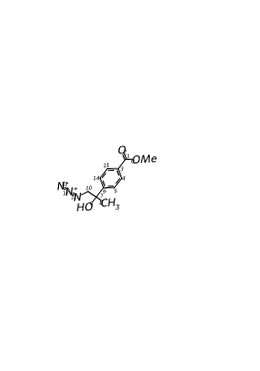 COC(=O)c1ccc(C(C)(O)CN=[N+]=[N-])cc1